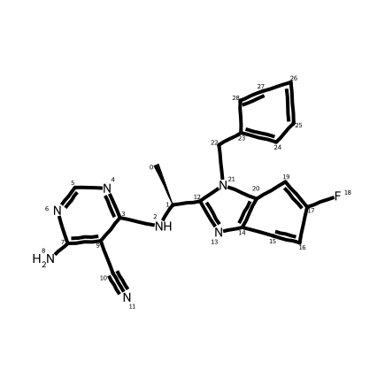 C[C@H](Nc1ncnc(N)c1C#N)c1nc2ccc(F)cc2n1Cc1ccccc1